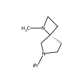 CC(C)N1CC[C@]2(CCN2C)C1